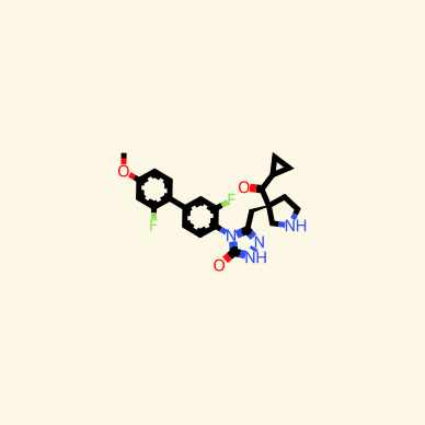 COc1ccc(-c2ccc(-n3c(C[C@@]4(C(=O)C5CC5)CCNC4)n[nH]c3=O)c(F)c2)c(F)c1